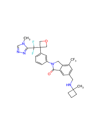 Cn1cnnc1C(F)(F)C1(c2cccc(N3Cc4c(cc(CNC5(C)CCC5)cc4C(F)(F)F)C3=O)c2)COC1